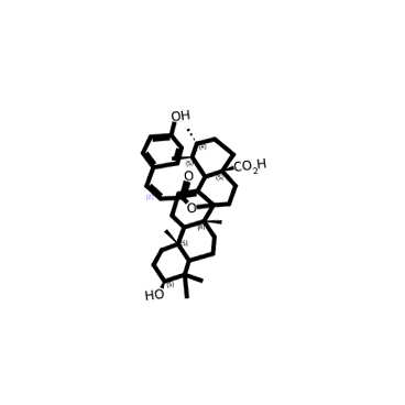 C[C@@H]1CC[C@]2(C(=O)O)CCC3(OC(=O)/C=C\c4ccc(O)cc4)C(=CCC4[C@@]5(C)CC[C@H](O)C(C)(C)C5CC[C@]43C)C2[C@H]1C